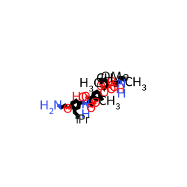 CO[C@@H]1[C@@H](OC(=O)c2ccc(C)[nH]2)[C@@H](O)[C@H](Oc2ccc3c(O)c(NC(=O)c4ccc(OCCN)c(CCC(C)C)c4)c(=O)oc3c2C)OC1(C)C